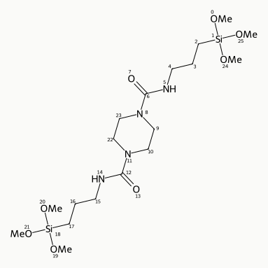 CO[Si](CCCNC(=O)N1CCN(C(=O)NCCC[Si](OC)(OC)OC)CC1)(OC)OC